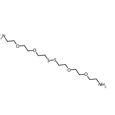 NCCOCCOCCSSCCOCCOCCN